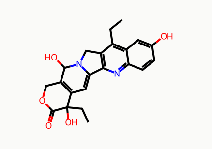 CCc1c2c(nc3ccc(O)cc13)C1=CC3=C(COC(=O)C3(O)CC)C(O)N1C2